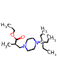 CCOC(=O)C(C)CN1CCN([Si](CC)(CC)CC)CC1